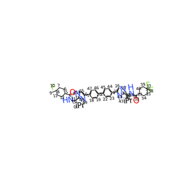 CC(C)[C@H](NC(=O)C1CCC(C)(F)CC1)c1ncc(-c2ccc(-c3ccc(-c4cnc([C@@H](NC(=O)C5CCC(F)(F)CC5)C(C)C)n4C)cc3)cc2)n1C